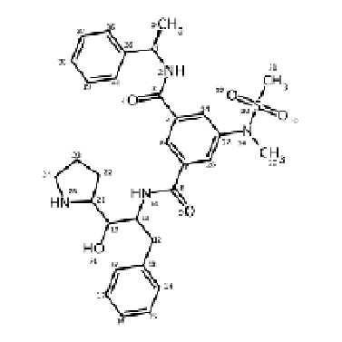 C[C@@H](NC(=O)c1cc(C(=O)NC(Cc2ccccc2)C(O)C2CCCN2)cc(N(C)S(C)(=O)=O)c1)c1ccccc1